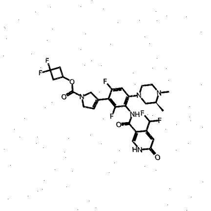 C[C@H]1CN(c2cc(F)c(C3=CCN(C(=O)OC4CC(F)(F)C4)C3)c(F)c2NC(=O)c2c[nH]c(=O)cc2C(F)F)CCN1C